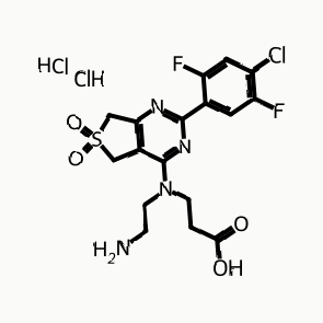 Cl.Cl.NCCN(CCC(=O)O)c1nc(-c2cc(F)c(Cl)cc2F)nc2c1CS(=O)(=O)C2